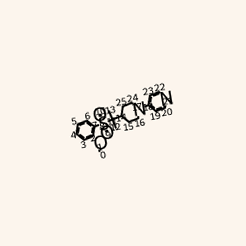 COc1ccccc1S(=O)(=O)C(C)(C)C1CCN(c2ccncc2)CC1